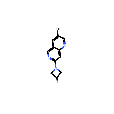 O=C(O)c1cnc2cc(N3CC(F)C3)ncc2c1